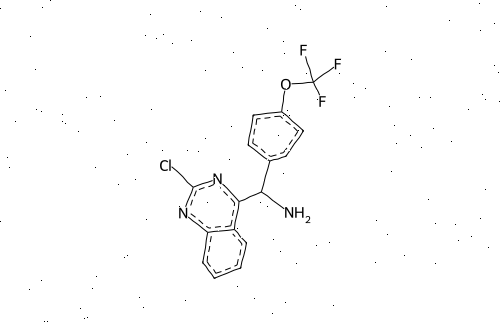 NC(c1ccc(OC(F)(F)F)cc1)c1nc(Cl)nc2ccccc12